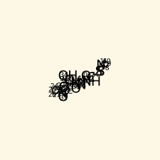 O=C(CCCSSc1ccccn1)Nc1ccn(C2CC(OCc3ccccc3[N+](=O)[O-])C(CO)O2)c(=O)n1